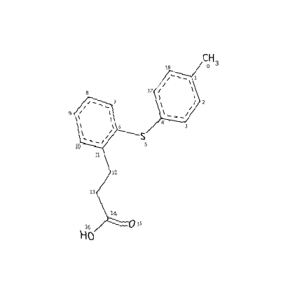 Cc1ccc(Sc2ccccc2CCC(=O)O)cc1